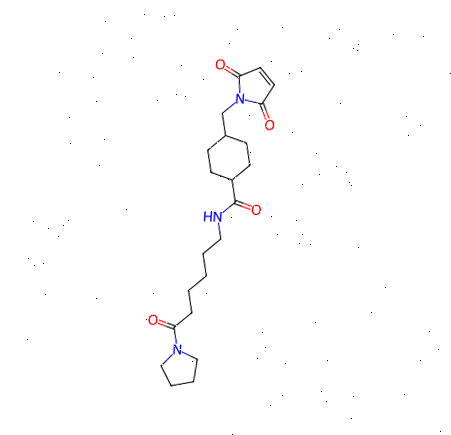 O=C(NCCCCCC(=O)N1CCCC1)C1CCC(CN2C(=O)C=CC2=O)CC1